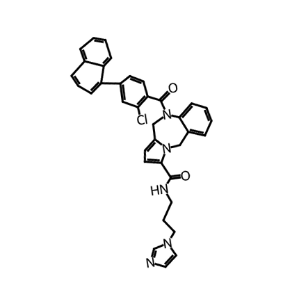 O=C(NCCCn1ccnc1)c1ccc2n1Cc1ccccc1N(C(=O)c1ccc(-c3cccc4ccccc34)cc1Cl)C2